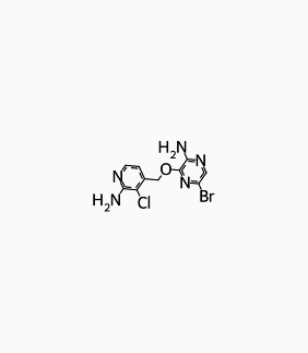 Nc1ncc(Br)nc1OCc1ccnc(N)c1Cl